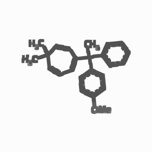 COc1ccc(C(C)(C2=CC=CC(C)(C)C=C2)c2ccccc2)cc1